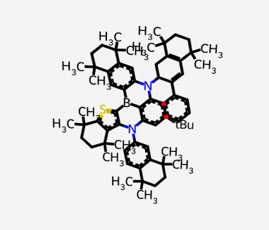 CC1(C)CCC(C)(C)C2=C1C=C(c1ccccc1)C(N1c3cc4c(cc3B3c5sc6c(c5N(c5ccc7c(c5)C(C)(C)CCC7(C)C)c5cc(C(C)(C)C)cc1c53)C(C)(C)CCC6(C)C)C(C)(C)CCC4(C)C)C2